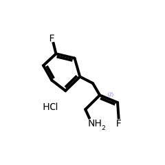 Cl.NC/C(=C\F)Cc1cccc(F)c1